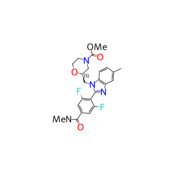 CNC(=O)c1cc(F)c(-c2nc3cc(C)ccc3n2C[C@@H]2CN(C(=O)OC)CCO2)c(F)c1